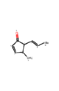 CCCCC=CC1C(=O)C=CC1OC(C)=O